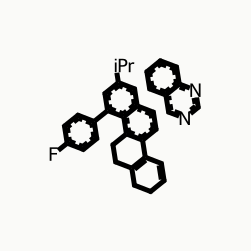 CC(C)c1cc(-c2ccc(F)cc2)c2c3c(ccc2c1)C1=C(CCC=C1)CC3.c1ccc2ncncc2c1